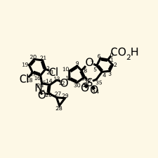 O=C(O)c1ccc2c(c1)Oc1ccc(OCc3c(-c4c(Cl)cccc4Cl)noc3C3CC3)cc1S(=O)(=O)C2